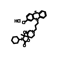 CC1(O)N(C2CCCCC2)C(=O)OC12CCN(CCCN1c3ccccc3Sc3ccc(Cl)cc31)CC2.Cl